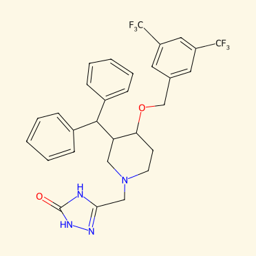 O=c1[nH]nc(CN2CCC(OCc3cc(C(F)(F)F)cc(C(F)(F)F)c3)C(C(c3ccccc3)c3ccccc3)C2)[nH]1